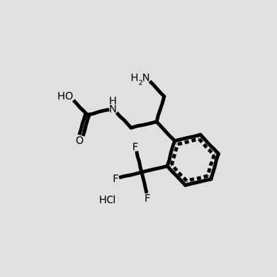 Cl.NCC(CNC(=O)O)c1ccccc1C(F)(F)F